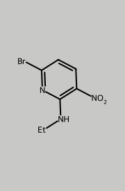 CCNc1nc(Br)ccc1[N+](=O)[O-]